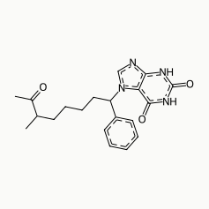 CC(=O)C(C)CCCCC(c1ccccc1)n1cnc2[nH]c(=O)[nH]c(=O)c21